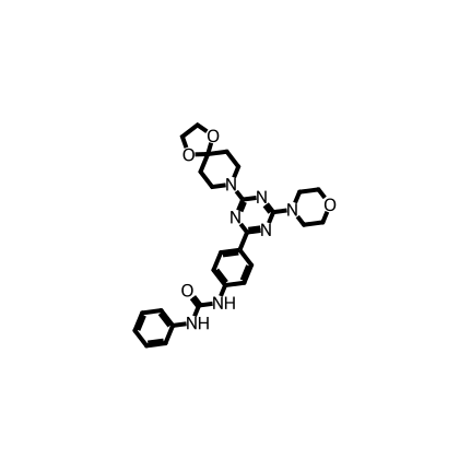 O=C(Nc1ccccc1)Nc1ccc(-c2nc(N3CCOCC3)nc(N3CCC4(CC3)OCCO4)n2)cc1